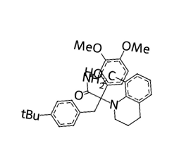 COc1ccc(C(Cc2ccc(C(C)(C)C)cc2)(C(N)=O)N2CCCc3cccc(C(=O)O)c32)cc1OC